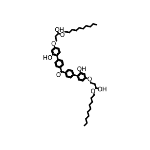 CCCCCCCCCCOC(O)CCOc1ccc(-c2ccc(C(=O)c3ccc(-c4ccc(OCCC(O)OCCCCCCCCCC)cc4O)cc3)cc2)c(O)c1